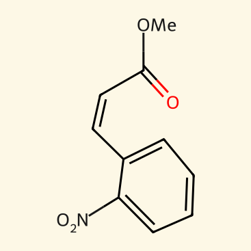 COC(=O)/C=C\c1ccccc1[N+](=O)[O-]